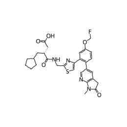 CN1C(=O)Cc2cc(-c3ccc(OCF)cc3-c3csc(CNC(=O)[C@@H](CC(=O)O)CC4CCCC4)n3)cnc21